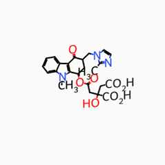 Cc1nccn1CC1CC(OC(=O)CC(O)(CC(=O)O)C(=O)O)c2c(c3ccccc3n2C)C1=O